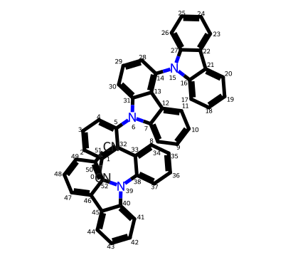 N#Cc1cccc(-n2c3ccccc3c3c(-n4c5ccccc5c5ccccc54)cccc32)c1-c1ccccc1-n1c2ccccc2c2cccc(C#N)c21